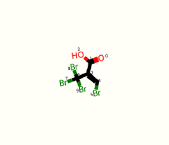 O=C(O)C(=CBr)C(Br)(Br)Br